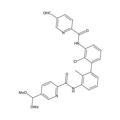 COC(OC)c1ccc(C(=O)Nc2cccc(-c3cccc(NC(=O)c4ccc(C=O)cn4)c3Cl)c2C)nc1